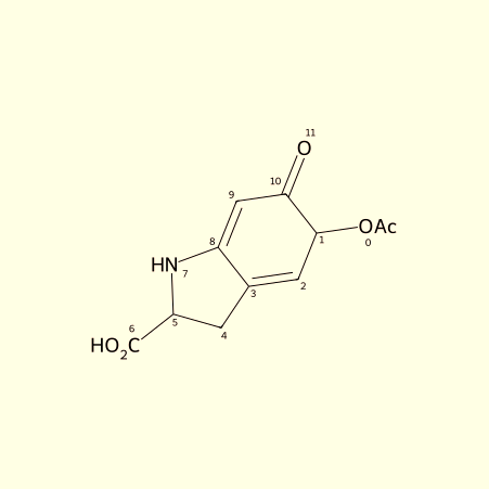 CC(=O)OC1C=C2CC(C(=O)O)NC2=CC1=O